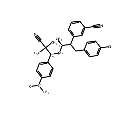 C[C@H](N[C@@H](c1ccc([S+](C)[O-])cc1)C(C)(C)C#N)C(Cc1ccc(Cl)cc1)c1cccc(C#N)c1